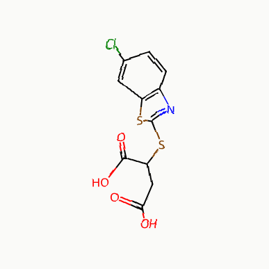 O=C(O)CC(Sc1nc2ccc(Cl)cc2s1)C(=O)O